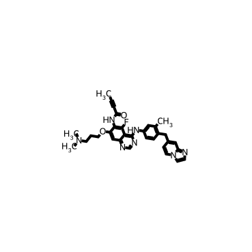 CC#CC(=O)Nc1c(OCCCN(C)C)cc2ncnc(Nc3ccc(Cc4ccn5ccnc5c4)c(C)c3)c2c1F